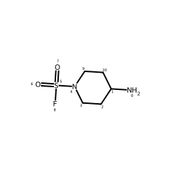 NC1CCN(S(=O)(=O)F)CC1